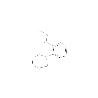 NCC(O)c1ccccc1N1CCOCC1